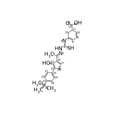 C/C(=N\N/C(S)=N/C1=CC=CC(C(=O)O)C1)c1csc(-c2ccc(C(C)(C)C)cc2)c1O